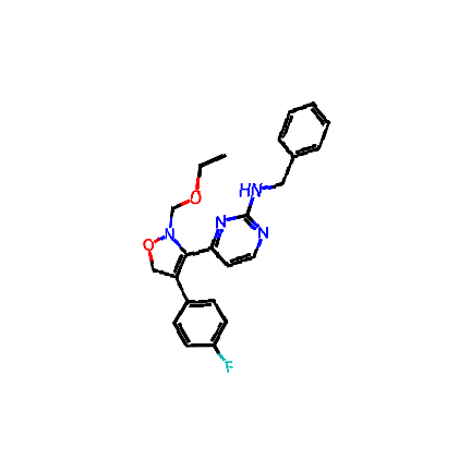 CCOCN1OCC(c2ccc(F)cc2)=C1c1ccnc(NCc2ccccc2)n1